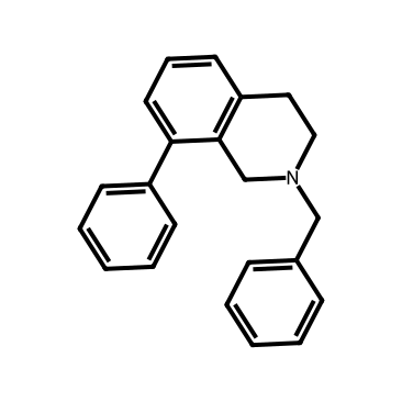 c1ccc(CN2CCc3cccc(-c4ccccc4)c3C2)cc1